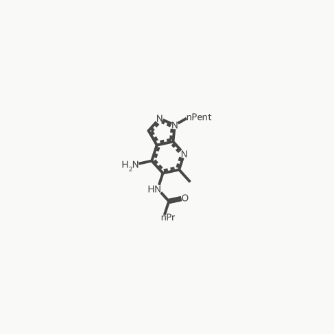 CCCCCn1ncc2c(N)c(NC(=O)CCC)c(C)nc21